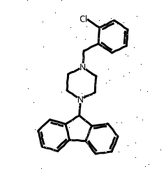 Clc1ccccc1CN1CCN(C2c3ccccc3-c3ccccc32)CC1